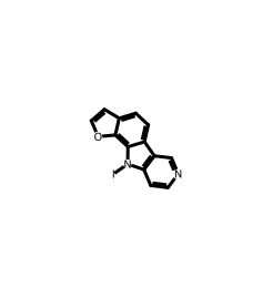 In1c2ccncc2c2ccc3ccoc3c21